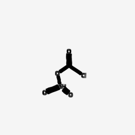 O=C(Cl)O[SH](=O)=O